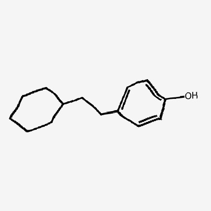 Oc1ccc(CCC2CCCCC2)cc1